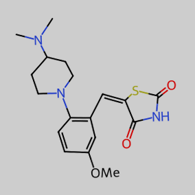 COc1ccc(N2CCC(N(C)C)CC2)c(C=C2SC(=O)NC2=O)c1